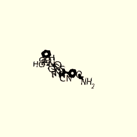 N#CN1C(c2ccc(OCCN)cc2)SC(S(=O)(=O)NCP(=O)(O)Oc2ccccc2)N1F